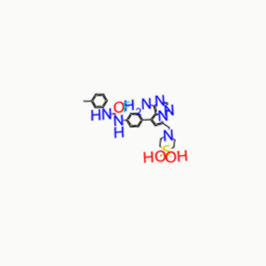 Cc1cccc(NC(=O)Nc2ccc(-c3cc(CN4CCS(O)(O)CC4)n4ncnc(N)c34)cc2F)c1